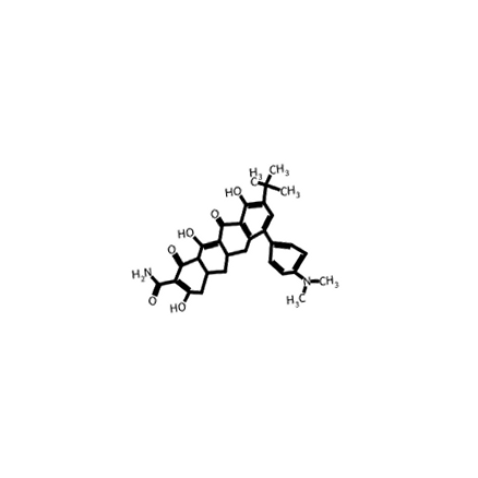 CN(C)c1ccc(-c2cc(C(C)(C)C)c(O)c3c2CC2CC4CC(O)=C(C(N)=O)C(=O)C4C(O)=C2C3=O)cc1